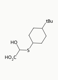 CC(C)(C)C1CCC(SC(O)C(=O)O)CC1